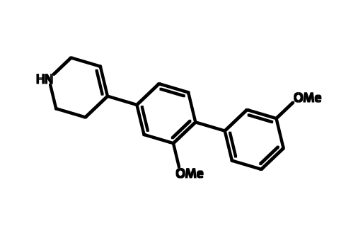 COc1cccc(-c2ccc(C3=CCNCC3)cc2OC)c1